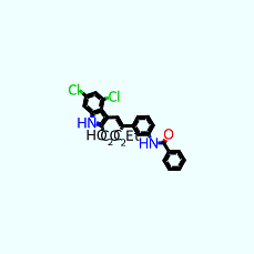 CCOC(=O)c1[nH]c2cc(Cl)cc(Cl)c2c1C=C(C(=O)O)c1cccc(NC(=O)c2ccccc2)c1